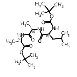 CC(C)C[C@H](NC(=O)OC(C)(C)C)C(=O)N[C@@H](C)C(=O)N[C@@H](C)C(=O)OC(C)(C)C